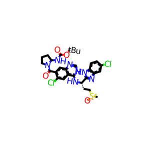 C[S+]([O-])CC[C@H](Nc1ncnc2cc(C(=O)N3CCCC3NC(=O)OC(C)(C)C)c(Cl)cc12)c1nc2cc(Cl)ccc2[nH]1